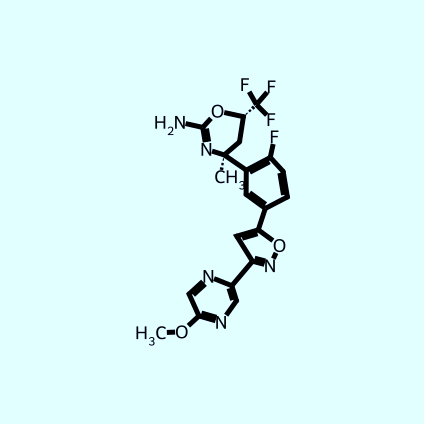 COc1cnc(-c2cc(-c3ccc(F)c([C@]4(C)C[C@@H](C(F)(F)F)OC(N)=N4)c3)on2)cn1